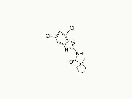 CC1(C(=O)Nc2nc3cc(Cl)cc(Cl)c3s2)CCCC1